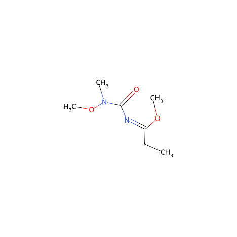 CCC(=NC(=O)N(C)OC)OC